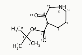 CC(C)(C)OC(=O)C1CCCNCC1=O